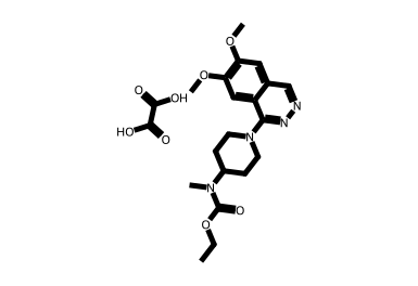 CCOC(=O)N(C)C1CCN(c2nncc3cc(OC)c(OC)cc23)CC1.O=C(O)C(=O)O